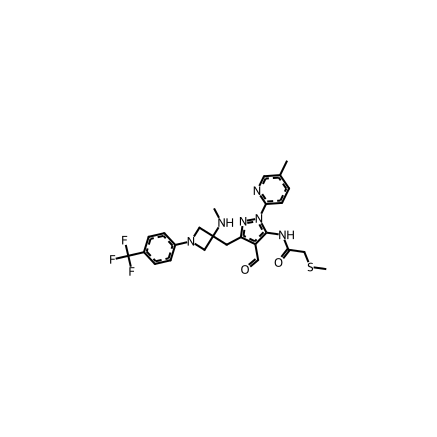 CNC1(Cc2nn(-c3ccc(C)cn3)c(NC(=O)CSC)c2C=O)CN(c2ccc(C(F)(F)F)cc2)C1